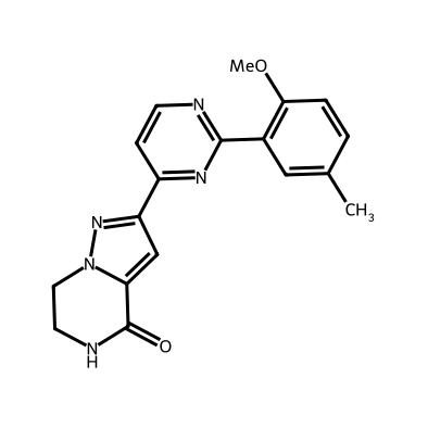 COc1ccc(C)cc1-c1nccc(-c2cc3n(n2)CCNC3=O)n1